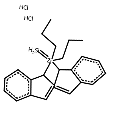 CC[CH2][Zr](=[SiH2])([CH2]CC)([CH]1C=Cc2ccccc21)[CH]1C=Cc2ccccc21.Cl.Cl